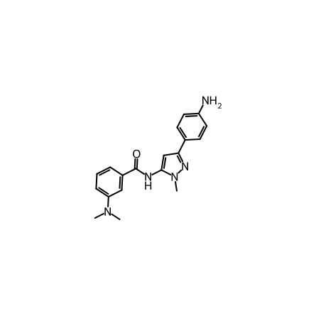 CN(C)c1cccc(C(=O)Nc2cc(-c3ccc(N)cc3)nn2C)c1